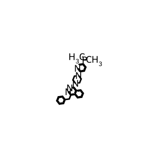 CP(C)c1ccc(N2CCN(c3nnc(Cc4ccccc4)c4ccccc34)CC2)nc1